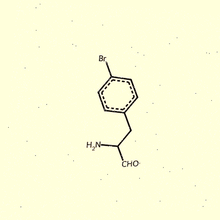 NC([C]=O)Cc1ccc(Br)cc1